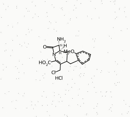 COc1ccccc1CC1S[C@@H]2[C@@H](N)C(=O)N2C(C(=O)O)=C1CCl.Cl